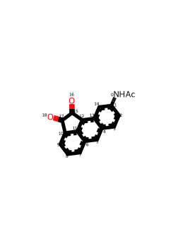 CC(=O)Nc1ccc2cc3cccc4c3c(c2c1)C(=O)C4=O